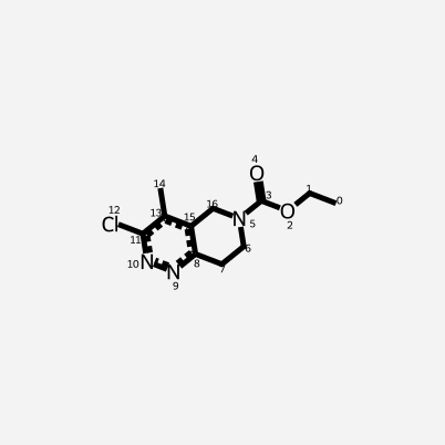 CCOC(=O)N1CCc2nnc(Cl)c(C)c2C1